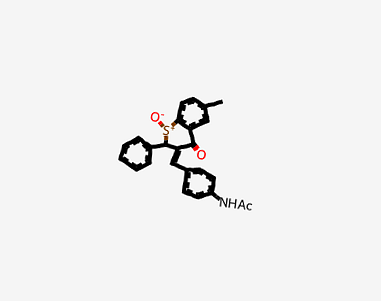 CC(=O)Nc1ccc(C=C2C(=O)c3cc(C)ccc3[S+]([O-])C2c2ccccc2)cc1